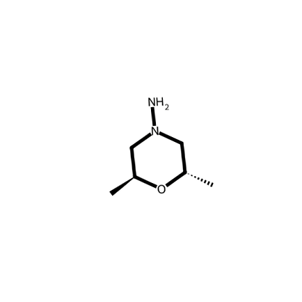 C[C@H]1CN(N)C[C@H](C)O1